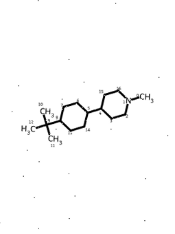 CN1CCC(C2CCC(C(C)(C)C)CC2)CC1